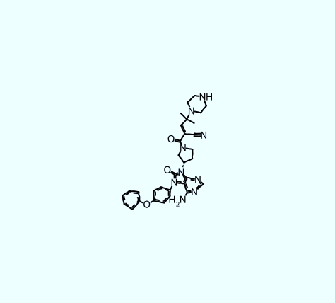 CC(C)(C=C(C#N)C(=O)N1CC[C@H](n2c(=O)n(-c3ccc(Oc4ccccc4)cc3)c3c(N)ncnc32)C1)N1CCNCC1